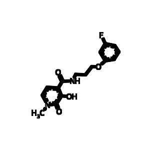 Cn1ccc(C(=O)NCCCOc2cccc(F)c2)c(O)c1=O